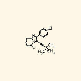 CS(C)(C)C#Cc1c(-c2ccc(Cl)cc2)nc2cccc(F)n12